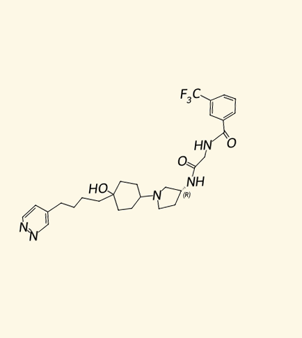 O=C(CNC(=O)c1cccc(C(F)(F)F)c1)N[C@@H]1CCN(C2CCC(O)(CCCCc3ccnnc3)CC2)C1